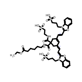 CCOC(=O)CCCCCNC(=O)C1(C(=O)NCCS(=O)(=O)O)CC(/C=C/c2oc3ccccc3[n+]2CCCS(=O)(=O)O)=CC(=C/C=C2\Oc3ccccc3N2CCCS(=O)(=O)O)/C1